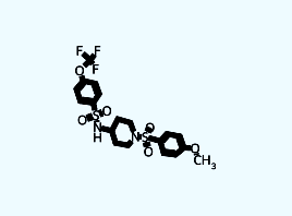 COc1ccc(S(=O)(=O)N2CCC(NS(=O)(=O)c3ccc(OC(F)(F)F)cc3)CC2)cc1